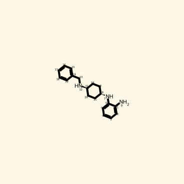 Nc1ccccc1N[C@H]1CC[C@H](NCc2ccccc2)CC1